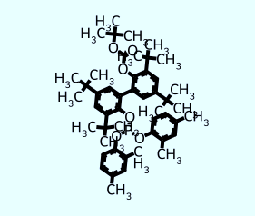 Cc1ccc(OP(Oc2ccc(C)cc2C)Oc2c(-c3cc(C(C)(C)C)cc(C(C)(C)C)c3OC(=O)OC(C)(C)C)cc(C(C)(C)C)cc2C(C)(C)C)c(C)c1